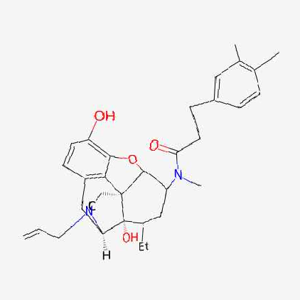 C=CCN1CC[C@]23c4c5ccc(O)c4OC2C(N(C)C(=O)CCc2ccc(C)c(C)c2)CC(CC)[C@@]3(O)[C@H]1C5